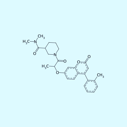 Cc1ccccc1-c1cc(=O)oc2cc(OC(C)C(=O)N3CCCC(C(=O)N(C)C)C3)ccc12